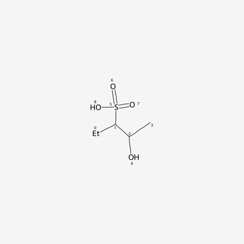 CCC(C(C)O)S(=O)(=O)O